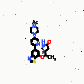 CC(=O)N1CCN(c2ccc(-c3cc(O[C@@H](C)[C@@H]4CNC(=O)C4)c4scnc4c3)nc2)CC1